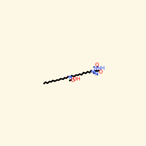 CCCCCCCCCCCCCCN(CC(O)CCCCCCCCCN1CN(C)c2c1n(C)c(=O)[nH]c2=O)C(C)=O